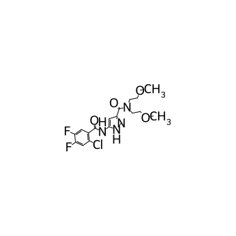 COCCN(CCOC)C(=O)c1cc(NC(=O)c2cc(F)c(F)cc2Cl)[nH]n1